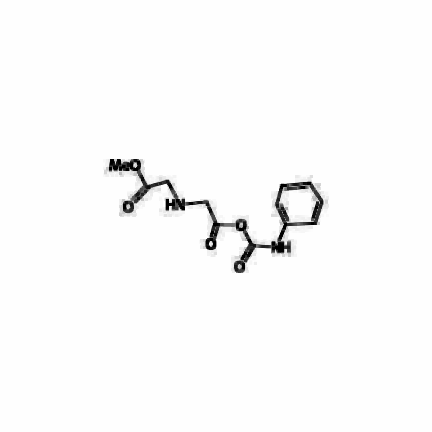 COC(=O)CNCC(=O)OC(=O)Nc1ccccc1